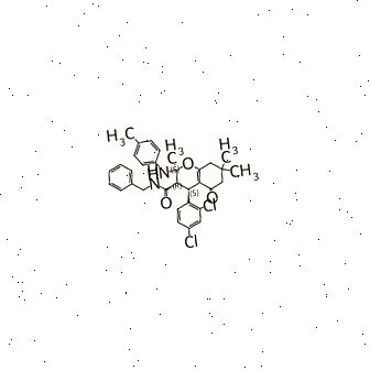 Cc1ccc(N[C@@]2(C)OC3=C(C(=O)CC(C)(C)C3)[C@@H](c3ccc(Cl)cc3Cl)[C@H]2C(=O)NCc2ccccc2)cc1